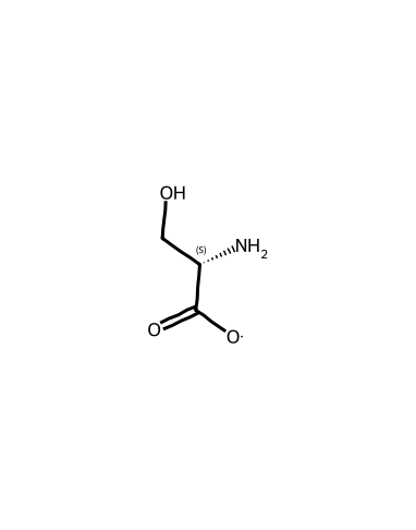 N[C@@H](CO)C([O])=O